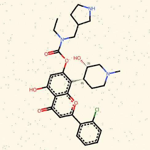 CCN(CC1CCNC1)C(=O)Oc1cc(O)c2c(=O)cc(-c3ccccc3Cl)oc2c1[C@H]1CCN(C)C[C@H]1O